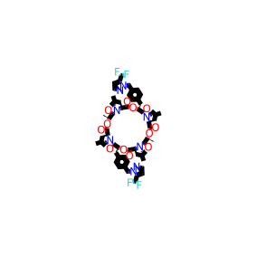 CC(C)C[C@H]1C(=O)O[C@H](Cc2ccc(Cn3nccc3C(F)F)cc2)C(=O)N(C)[C@@H](CC(C)C)C(=O)O[C@H](C)C(=O)N(C)[C@@H](CC(C)C)C(=O)O[C@H](Cc2ccc(Cn3nccc3C(F)F)cc2)C(=O)N(C)[C@@H](CC(C)C)C(=O)O[C@H](C)C(=O)N1C